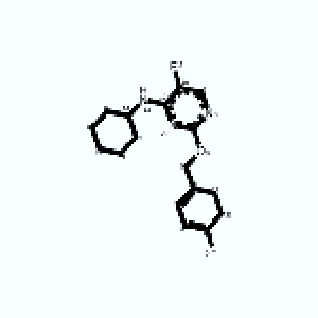 FC1=CC=C(COc2ncc(F)c(NC3CCCCC3)n2)CC1